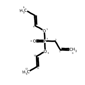 C=CCP(=O)(OC=CC)OC=CC